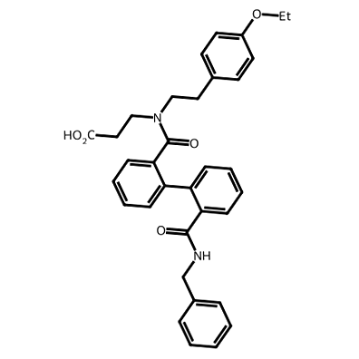 CCOc1ccc(CCN(CCC(=O)O)C(=O)c2ccccc2-c2ccccc2C(=O)NCc2ccccc2)cc1